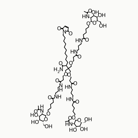 CC(=O)N[C@H]1[C@H](OCCCCC(=O)NCCCNC(=O)CCOCC(COCCC(=O)NCCCNC(=O)CCCCO[C@@H]2O[C@H](CO)[C@H](O)[C@H](O)[C@H]2NC(C)=O)(COCCC(=O)NCCCNC(=O)CCCCO[C@@H]2O[C@H](CO)[C@H](O)[C@H](O)[C@H]2NC(C)=O)C(CCCCCCCCCCN2C(=O)C=CC2=O)C(N)=O)O[C@H](CO)[C@H](O)[C@@H]1O